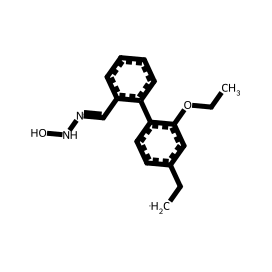 [CH2]Cc1ccc(-c2ccccc2C=NNO)c(OCC)c1